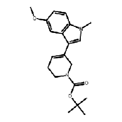 COc1ccc2c(c1)c(C1=CCCN(C(=O)OC(C)(C)C)C1)cn2C